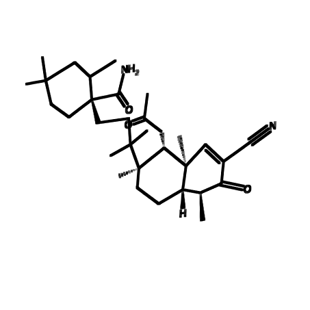 CC(=O)C[C@@H]1[C@@]2(C)C=C(C#N)C(=O)[C@@H](C)[C@@H]2CC[C@@]1(C)C(C)(C)CC[C@@]1(C(N)=O)CCC(C)(C)CC1C